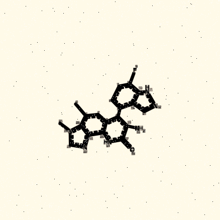 Cc1cc2c(-c3ccc(F)c4[nH]ncc34)c(N)c(=O)[nH]c2c2ncn(C)c12